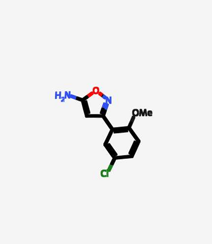 COc1ccc(Cl)cc1-c1cc(N)on1